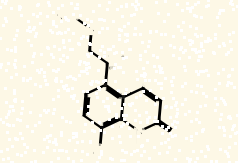 CCC[CH]CCCCCNC[C@H](O)c1ccc(O)c2[nH]c(=O)ccc12